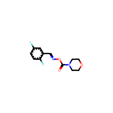 O=C(O/N=C/c1cc(F)ccc1F)N1CCOCC1